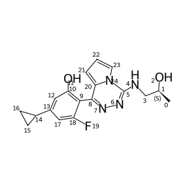 C[C@H](O)CNc1nnc(-c2c(O)cc(C3CC3)cc2F)c2cccn12